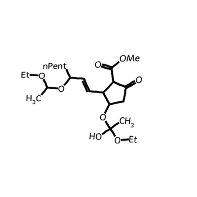 CCCCCC(C=CC1C(OC(C)(O)OCC)CC(=O)C1C(=O)OC)OC(C)OCC